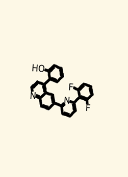 Oc1ccccc1-c1ccnc2ccc(-c3cccc(-c4c(F)cccc4F)n3)cc12